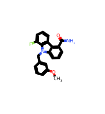 COc1cccc(Cn2c3cccc(C(N)=O)c3c3[c]ccc(F)c32)c1